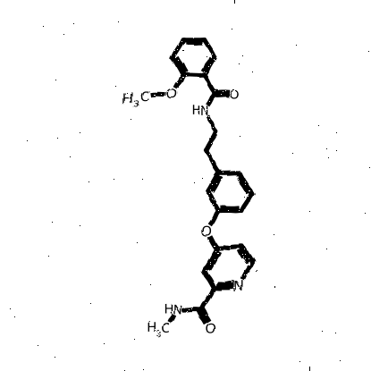 CNC(=O)c1cc(Oc2cccc(CCNC(=O)c3ccccc3OC)c2)ccn1